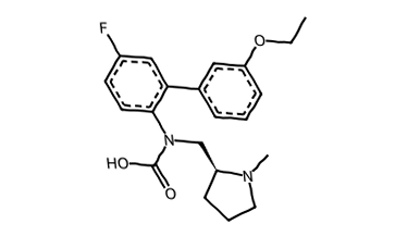 CCOc1cccc(-c2cc(F)ccc2N(C[C@@H]2CCCN2C)C(=O)O)c1